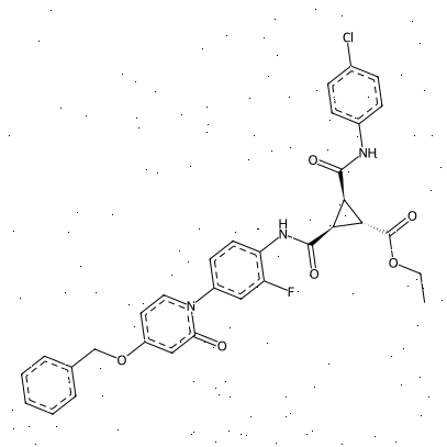 CCOC(=O)[C@H]1[C@H](C(=O)Nc2ccc(Cl)cc2)[C@@H]1C(=O)Nc1ccc(-n2ccc(OCc3ccccc3)cc2=O)cc1F